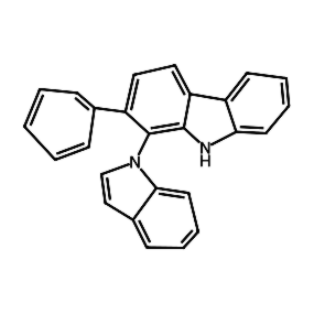 c1ccc(-c2ccc3c([nH]c4ccccc43)c2-n2ccc3ccccc32)cc1